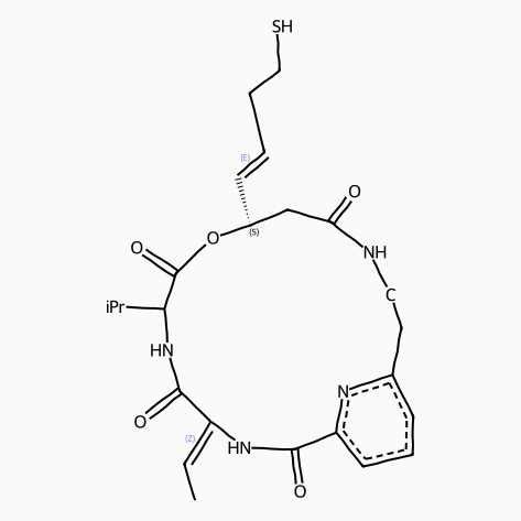 C/C=C1\NC(=O)c2cccc(n2)CCNC(=O)C[C@@H](/C=C/CCS)OC(=O)C(C(C)C)NC1=O